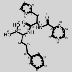 O=C(NC(Cc1nccs1)C(=O)N[C@@H](CCCc1ccccc1)B(O)O)c1cnccn1